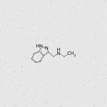 CCNCc1n[nH]c2ccccc12